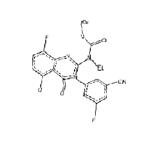 CCN(C(=O)OC(C)(C)C)c1nc2c(F)ccc(Cl)c2c(=O)n1-c1cc(F)cc(C#N)c1